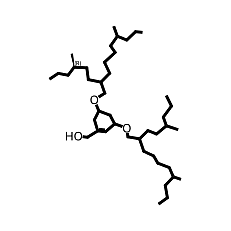 CCCC(C)CCCCC(CCC(C)CCC)COC1C=C(CO)CC(OCC(CCCCC(C)CCC)CC[C@H](C)CCC)C1